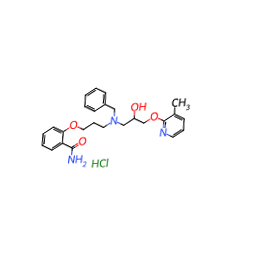 Cc1cccnc1OCC(O)CN(CCCOc1ccccc1C(N)=O)Cc1ccccc1.Cl